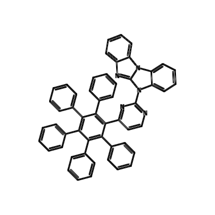 c1ccc(-c2c(-c3ccccc3)c(-c3ccccc3)c(-c3ccnc(-n4c5ccccc5n5c6ccccc6nc45)n3)c(-c3ccccc3)c2-c2ccccc2)cc1